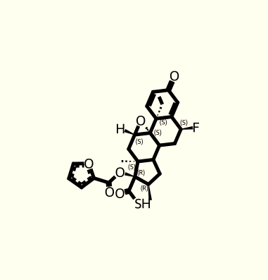 CC[C@]12C=CC(=O)C=C1[C@@H](F)CC1C3C[C@@H](C)[C@](OC(=O)c4ccco4)(C(=O)S)[C@@]3(C)C[C@@H]3O[C@]132